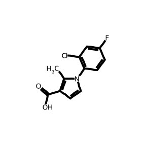 Cc1c(C(=O)O)ccn1-c1ccc(F)cc1Cl